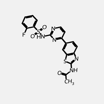 CC(=O)Nc1nc2ccc(-c3ccnc(NS(=O)(=O)c4ccccc4F)n3)cc2s1